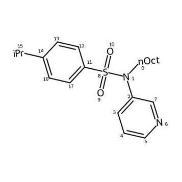 CCCCCCCCN(c1cccnc1)S(=O)(=O)c1ccc(C(C)C)cc1